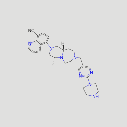 C[C@@H]1CN(c2ccc(C#N)c3ncccc23)C[C@@H]2CCN(Cc3cnc(N4CCNCC4)nc3)CCN21